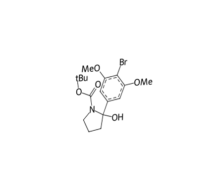 COc1cc(C2(O)CCCN2C(=O)OC(C)(C)C)cc(OC)c1Br